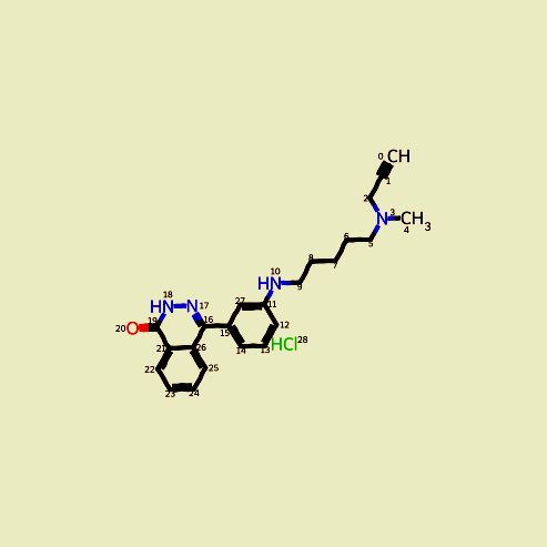 C#CCN(C)CCCCCNc1cccc(-c2n[nH]c(=O)c3ccccc23)c1.Cl